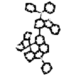 c1ccc(N(c2ccccc2)c2ccc(-c3cc4c5c(ccc6c5c5c(cccc5n6-c5ccccc5)C45c4ccccc4-c4ccccc45)c3)c3c2oc2ccccc23)cc1